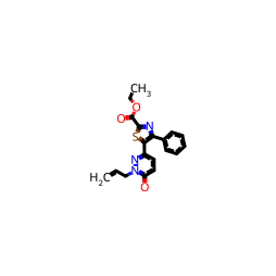 C=CCn1nc(-c2sc(C(=O)OCC)nc2-c2ccccc2)ccc1=O